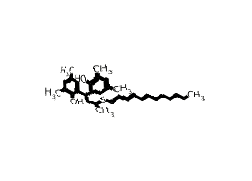 CCCCCCCCCCCCSC(C)CC(c1cc(C)cc(C)c1O)c1cc(C)cc(C)c1O